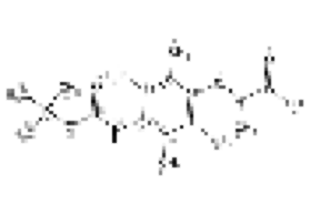 Cc1c(C)c(OC(C)C(=O)O)c(C)c(C)c1NC(=O)OC(C)(C)C